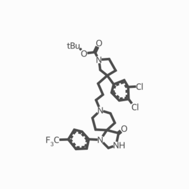 CC(C)(C)OC(=O)N1CCC(CCCN2CCC3(CC2)C(=O)NCN3c2ccc(C(F)(F)F)cc2)(c2ccc(Cl)c(Cl)c2)C1